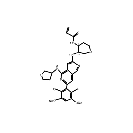 C=CC(=O)N[C@H]1CCOC[C@H]1Nc1cc2c(NC3CCOC3)nc(-c3c(Cl)c(OC)cc(OC)c3Cl)cc2cn1